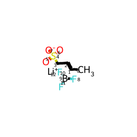 CC=CCS(=O)(=O)[O-].FB(F)F.[Li+]